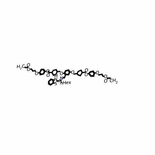 C=CC(=O)OCCCOc1ccc(OC(=O)C2CCC(COc3ccc(OCC4CCC(C(=O)Oc5ccc(OCCCOC(=O)C=C)cc5)CC4)c(/C=N/N(CCCCCC)C4Nc5ccccc5S4)c3)CC2)cc1